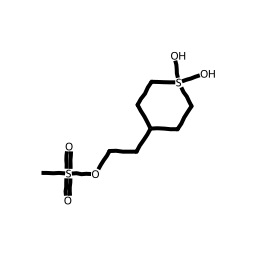 CS(=O)(=O)OCCC1CCS(O)(O)CC1